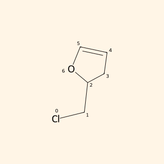 ClCC1CC=CO1